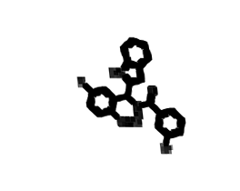 COc1ccc(F)cc1C(NC(=O)c1cccc(Br)c1)c1cc2ccccc2[nH]1